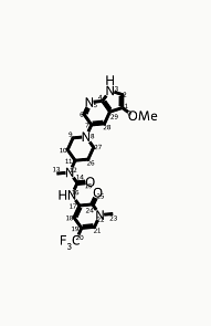 COc1c[nH]c2ncc(N3CCC(N(C)C(=O)Nc4cc(C(F)(F)F)cn(C)c4=O)CC3)cc12